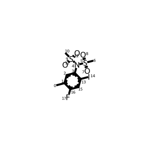 Cc1cc(N(S(C)(=O)=O)S(C)(=O)=O)c(I)cc1F